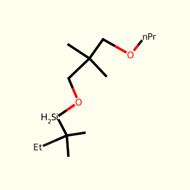 CCCOCC(C)(C)CO[SiH2]C(C)(C)CC